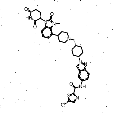 Cn1c(=O)n(C2CCC(=O)NC2=O)c2cccc(C3CCN(C[C@H]4CC[C@H](n5cc6cc(NC(=O)c7ncc(Cl)s7)ccc6n5)CC4)CC3)c21